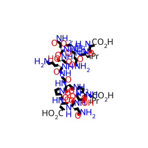 CC(C)C[C@H](NC(=O)[C@@H](N)CC(=O)O)C(=O)N[C@@H](CCC(N)=O)C(=O)N[C@@H](C)C(=O)N[C@@H](CCC(N)=O)C(=O)N[C@@H](CO)C(=O)N[C@@H](CCCCN)C(=O)NCC(=O)N[C@@H](CC(N)=O)C(=O)N1CCC[C@H]1C(=O)N[C@@H](CCC(=O)O)C(=O)N[C@@H](CCC(N)=O)C(=O)N[C@H](C(=O)N1CCC[C@H]1C(=O)N[C@H](C(=O)O)C(C)C)[C@@H](C)O